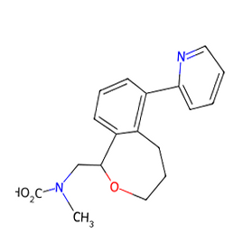 CN(CC1OCCCc2c(-c3ccccn3)cccc21)C(=O)O